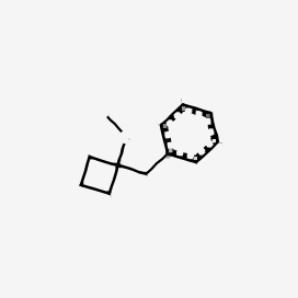 C[SiH2]C1(Cc2ccccc2)CCC1